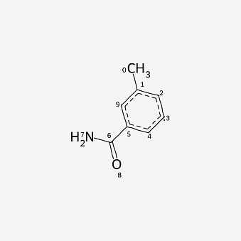 Cc1c[c]cc(C(N)=O)c1